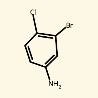 Nc1ccc(Cl)c(Br)c1